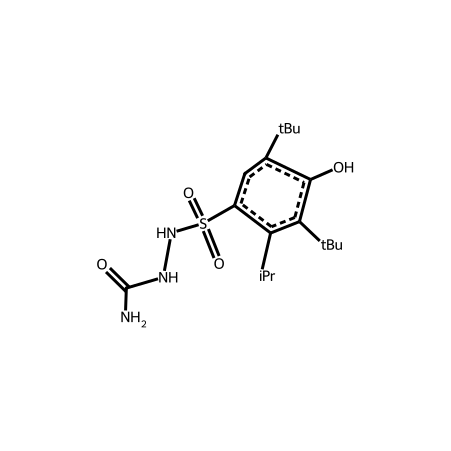 CC(C)c1c(S(=O)(=O)NNC(N)=O)cc(C(C)(C)C)c(O)c1C(C)(C)C